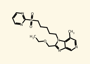 CCOCc1nc2cncc(C)c2n1CCCCCS(=O)(=O)c1ncccn1